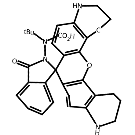 CC(C)(C)N(C(=O)O)N1C(=O)c2ccccc2C12c1ccc3c(c1Oc1c2ccc2c1CCCN2)CCCN3